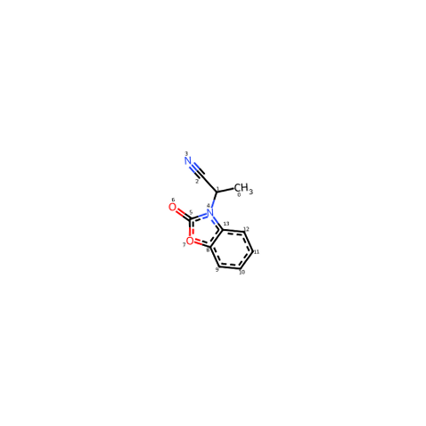 CC(C#N)n1c(=O)oc2ccccc21